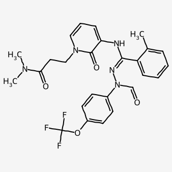 Cc1ccccc1/C(=N\N(C=O)c1ccc(OC(F)(F)F)cc1)Nc1cccn(CCC(=O)N(C)C)c1=O